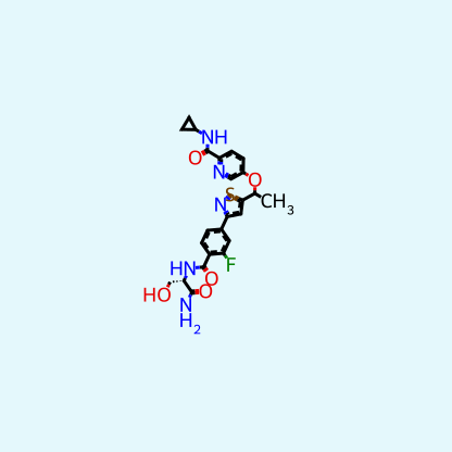 CC(Oc1ccc(C(=O)NC2CC2)nc1)c1cc(-c2ccc(C(=O)N[C@@H](CO)C(N)=O)c(F)c2)ns1